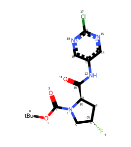 CC(C)(C)OC(=O)N1C[C@@H](F)C[C@@H]1C(=O)Nc1cnc(Cl)nc1